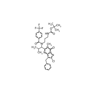 CC(C)C(c1nc2c(Cc3ccccc3)c(Cl)nn2c(=O)n1C)N(CCCNC(=O)OC(C)(C)C)C(=O)c1ccc(C(F)(F)F)cc1